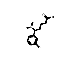 [CH2]c1cccc(C(CCCC(=O)O)N(C)C)c1